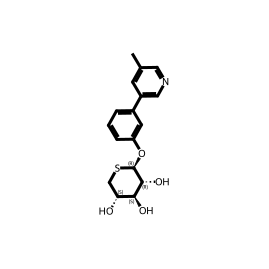 Cc1cncc(-c2cccc(O[C@@H]3SC[C@@H](O)[C@H](O)[C@H]3O)c2)c1